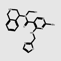 CC(C)CN(C(=O)c1cnc(C(C)(C)C)nc1NCc1ncco1)C1CNCc2ccccc21